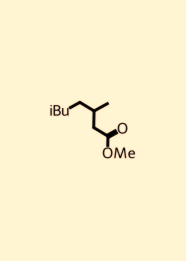 CCC(C)CC(C)CC(=O)OC